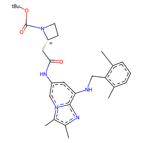 Cc1cccc(C)c1CNc1cc(NC(=O)C[C@H]2CCN2C(=O)OC(C)(C)C)cn2c(C)c(C)nc12